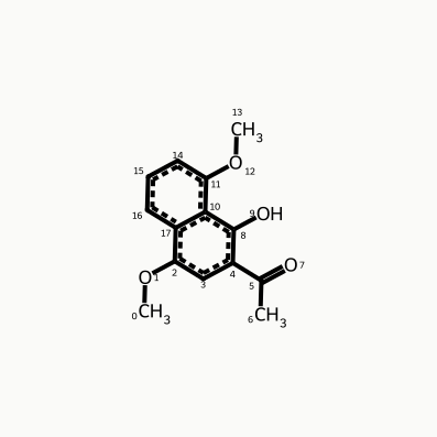 COc1cc(C(C)=O)c(O)c2c(OC)cccc12